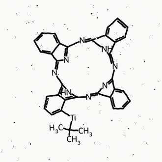 C[C](C)(C)[Ti][c]1cccc2c3nc4nc(nc5[nH]c(nc6nc(nc([nH]3)c12)-c1ccccc1-6)c1ccccc51)-c1ccccc1-4